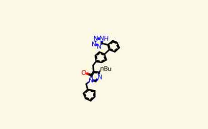 CCCCc1ncn(Cc2ccccc2)c(=O)c1Cc1ccc(-c2ccccc2-c2nnn[nH]2)cc1